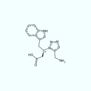 NCc1cnnn1[C@@H](CC(=O)O)Cc1c[nH]c2ccccc12